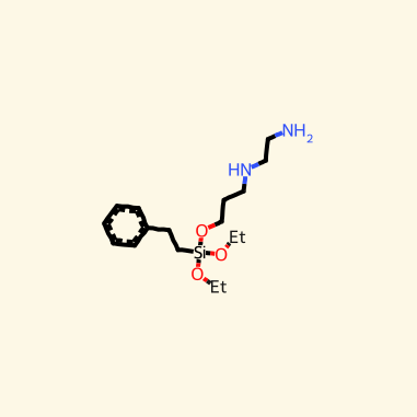 CCO[Si](CCc1ccccc1)(OCC)OCCCNCCN